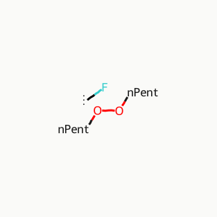 CCCCCOOCCCCC.[C]F